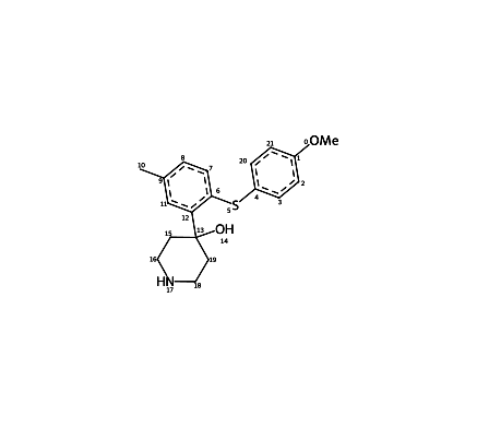 COc1ccc(Sc2ccc(C)cc2C2(O)CCNCC2)cc1